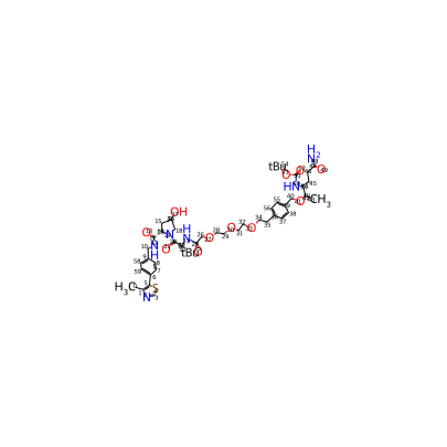 Cc1ncsc1-c1ccc(CNC(=O)[C@@H]2C[C@@H](O)CN2C(=O)[C@@H](NC(=O)COCCOCCOCCc2ccc(CO[C@H](C)[C@H](CCC(N)=O)NC(=O)OC(C)(C)C)cc2)C(C)(C)C)cc1